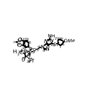 COc1ccc(Sc2nc(N)nc3c2ncn3CCOCP(=O)(N[C@H](C)C(=O)OC(C)C)Oc2ccc3c(c2)OCO3)cc1